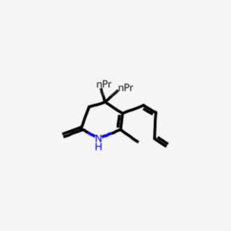 C=C/C=C\C1=C(C)NC(=C)CC1(CCC)CCC